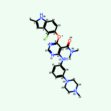 Cc1cc2c(F)c(Oc3ncnc(Nc4cccc(N5CCN(C)CC5)c4)c3C(=O)N(C)C)ccc2[nH]1